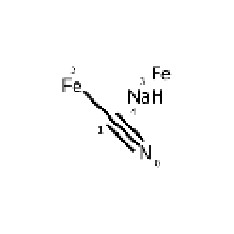 N#[C][Fe].[Fe].[NaH]